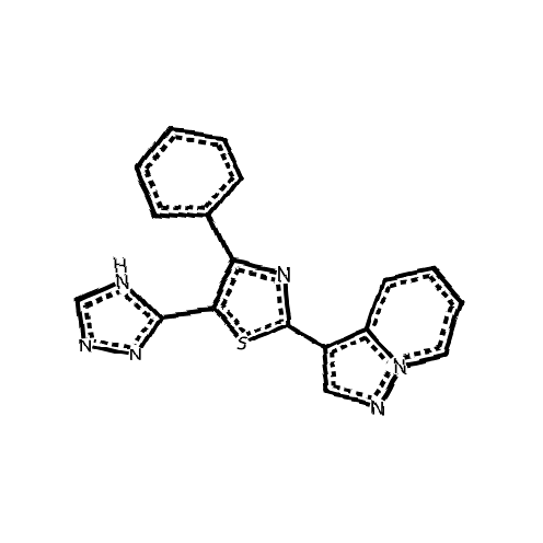 c1ccc(-c2nc(-c3cnn4ccccc34)sc2-c2nnc[nH]2)cc1